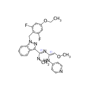 C=N/C(=N\C(=C\OC)Nc1ccncc1)c1nn(Cc2c(F)cc(OCC)cc2F)c2ccccc12